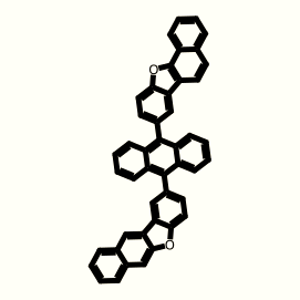 c1ccc2cc3c(cc2c1)oc1ccc(-c2c4ccccc4c(-c4ccc5oc6c7ccccc7ccc6c5c4)c4ccccc24)cc13